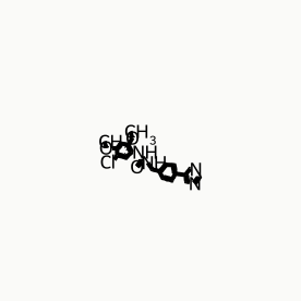 COc1cc(OC)c(NC(=O)NCc2ccc(-c3cncnc3)cc2)cc1Cl